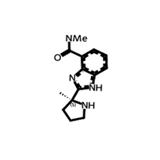 CNC(=O)c1cccc2[nH]c([C@]3(C)CCCN3)nc12